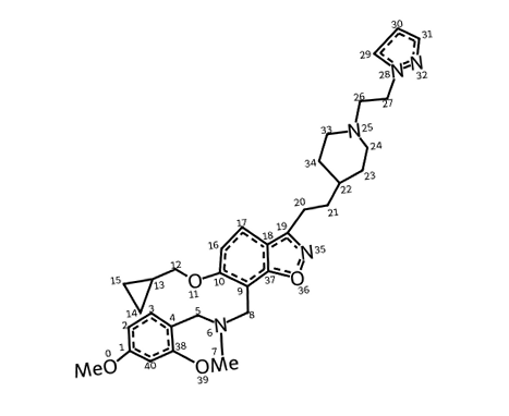 COc1ccc(CN(C)Cc2c(OCC3CC3)ccc3c(CCC4CCN(CCn5cccn5)CC4)noc23)c(OC)c1